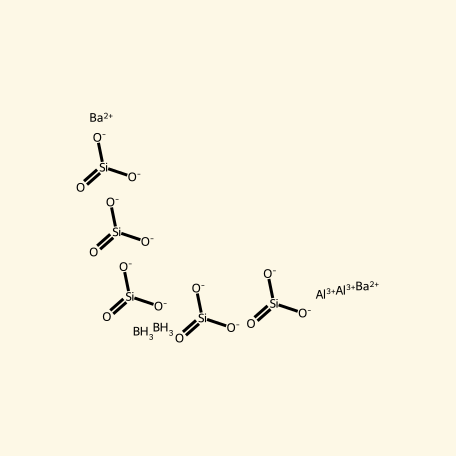 B.B.O=[Si]([O-])[O-].O=[Si]([O-])[O-].O=[Si]([O-])[O-].O=[Si]([O-])[O-].O=[Si]([O-])[O-].[Al+3].[Al+3].[Ba+2].[Ba+2]